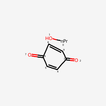 CCCO.O=C1C=CC(=O)C=C1